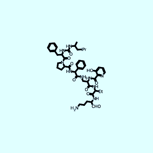 CCC(NC(=O)C(CNC(=O)C(NC(=O)C1CCCN1C(=O)C(Cc1ccccc1)NC(=O)NC(C)CC(C)C)c1ccccc1)NC(=O)c1ncccc1O)C(=O)NC(C=O)CCCN